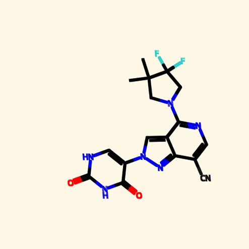 CC1(C)CN(c2ncc(C#N)c3nn(-c4c[nH]c(=O)[nH]c4=O)cc23)CC1(F)F